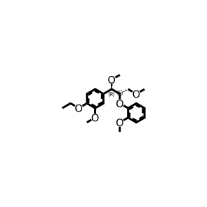 CCOc1ccc([C@@H](OC)[C@H](COC)Oc2ccccc2OC)cc1OC